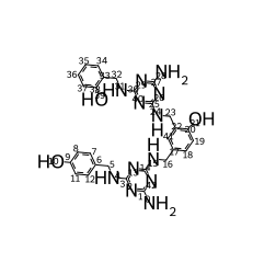 Nc1nc(NCc2ccc(O)cc2)nc(NCc2ccc(O)c(CNc3nc(N)nc(NCc4ccccc4O)n3)c2)n1